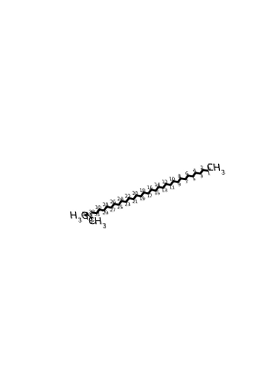 CCCCCCCCCCCCCCCCCCCCCCCCCCCCCCCCCN(C)C